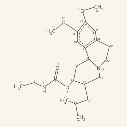 CCNC(=O)OC1CC2c3cc(OC)c(OC)cc3CCN2CC1CC(C)C